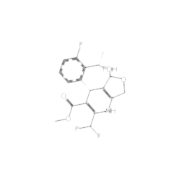 COC(=O)C1=C(C(F)F)NC2=C(C(O)OC2)[C@H]1c1cccc(F)c1[C@H](C)F